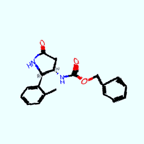 Cc1ccccc1[C@H]1NC(=O)C[C@@H]1NC(=O)OCc1ccccc1